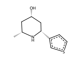 C[C@@H]1C[C@H](O)C[C@H](c2ccsc2)N1